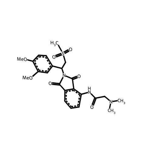 COc1ccc(C(CS(C)(=O)=O)N2C(=O)c3cccc(NC(=O)CN(C)C)c3C2=O)cc1OC